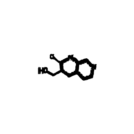 OCc1cc2ccncc2nc1Cl